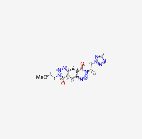 COCCn1nnc2cc3c(=O)n(C(C)Cn4ncnn4)nnc3cc2c1=O